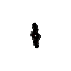 CC[C@@H]1[C@@H]2O[P@](=O)(S)OC[C@@]3(CC)O[C@@H](n4cnc5c(NC(=O)c6ccccc6)ncnc54)[C@H](CC)[C@@H]3O[P@](=O)(S)OC[C@H]2O[C@H]1n1cnc2c(NC(=O)c3ccccc3)ncnc21